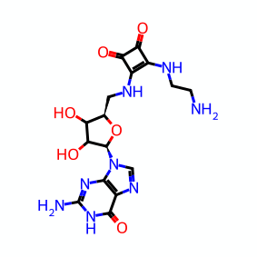 NCCNc1c(NC[C@H]2O[C@@H](n3cnc4c(=O)[nH]c(N)nc43)C(O)C2O)c(=O)c1=O